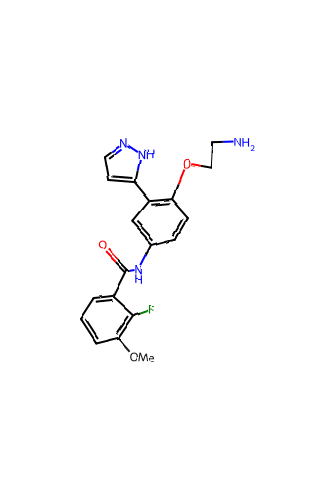 COc1cccc(C(=O)Nc2ccc(OCCN)c(-c3ccn[nH]3)c2)c1F